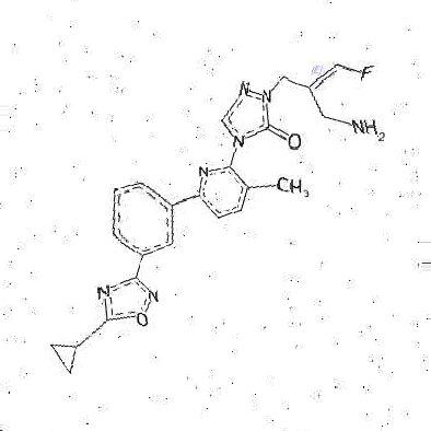 Cc1ccc(-c2cccc(-c3noc(C4CC4)n3)c2)nc1-n1cnn(C/C(=C/F)CN)c1=O